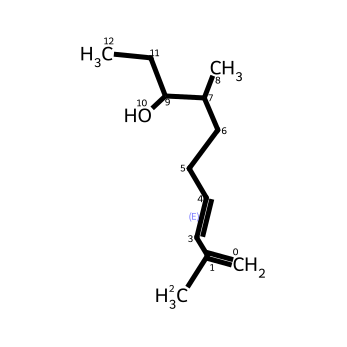 C=C(C)/C=C/CCC(C)C(O)CC